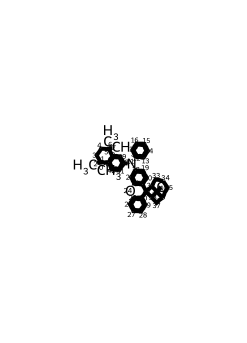 CC1(C)CCC(C)(C)c2cc(N(c3ccccc3)c3ccc4c(c3)Oc3ccccc3C43C4CC5CC6CC3C64C5)ccc21